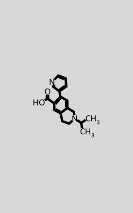 CC(C)N1CCc2cc(C(=O)O)c(-c3cccnc3)cc2C1